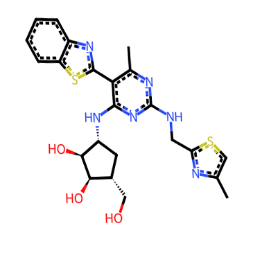 Cc1csc(CNc2nc(C)c(-c3nc4ccccc4s3)c(N[C@@H]3C[C@H](CO)[C@@H](O)[C@H]3O)n2)n1